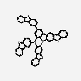 c1ccc2c(c1)sc1ccc(-c3cc4c5c(c3)N(c3ccc6sc7ccccc7c6c3)c3cc6c(cc3B5c3cc5sc7ccccc7c5cc3-4)sc3ccccc36)cc12